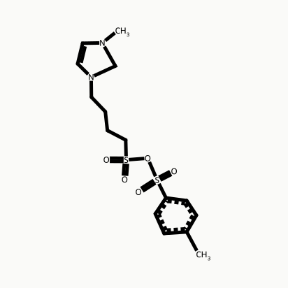 Cc1ccc(S(=O)(=O)OS(=O)(=O)CCCCN2C=CN(C)C2)cc1